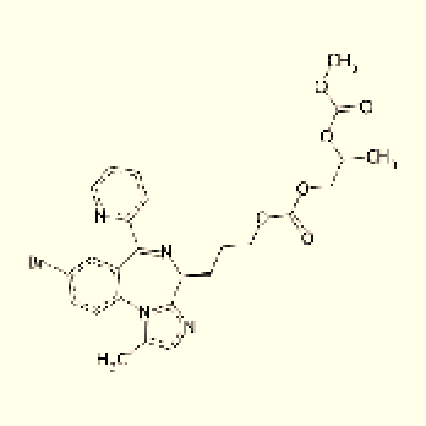 COC(=O)OC(C)COC(=O)OCCC[C@@H]1N=C(c2ccccn2)c2cc(Br)ccc2-n2c(C)cnc21